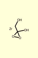 OCC1(O)OO1.[Zr]